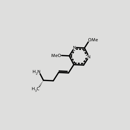 COc1ncc(/C=C/C[C@H](C)N)c(OC)n1